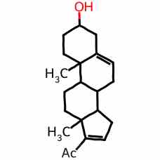 CC(=O)C1=CCC2C3CC=C4CC(O)CCC4(C)C3CCC12C